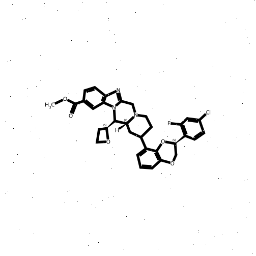 COC(=O)c1ccc2nc3n(c2c1)C([C@@H]1CCO1)[C@H]1CC(c2cccc4c2O[C@@H](c2ccc(Cl)cc2F)CO4)CCN1C3